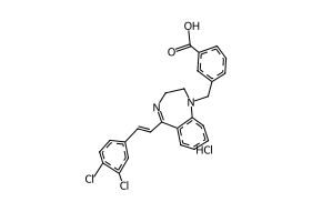 Cl.O=C(O)c1cccc(CN2CCN=C(/C=C/c3ccc(Cl)c(Cl)c3)c3ccccc32)c1